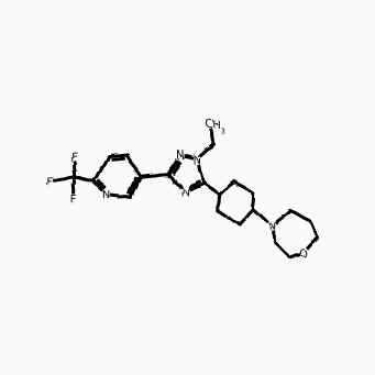 CCn1nc(-c2ccc(C(F)(F)F)nc2)nc1C1CCC(N2CCCOCC2)CC1